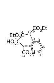 CCOC(=O)C(C(=O)OCC)c1ccccc1.O=C(O)CC(=O)O